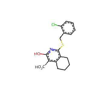 O=C(O)c1c(O)nc(SCc2ccccc2Cl)c2c1CCCC2